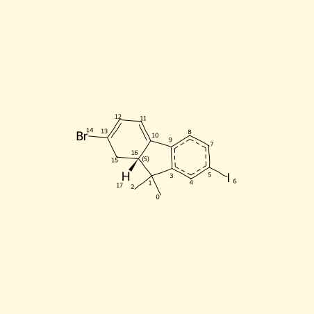 CC1(C)c2cc(I)ccc2C2=CC=C(Br)C[C@H]21